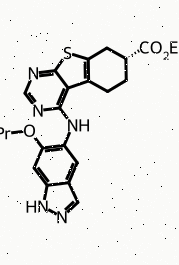 CCOC(=O)[C@@H]1CCc2c(sc3ncnc(Nc4cc5cn[nH]c5cc4OC(C)C)c23)C1